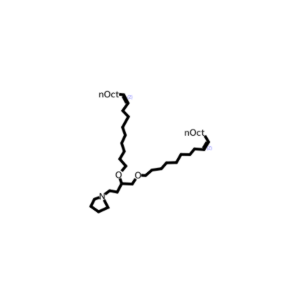 CCCCCCCC/C=C\CCCCCCCCOCC(CCN1CCCC1)OCCCCCCCC/C=C\CCCCCCCC